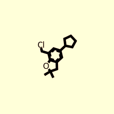 CC1(C)Cc2cc(C3CCCC3)cc(CCl)c2O1